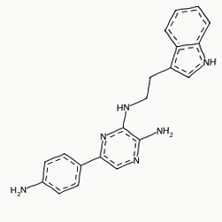 Nc1ccc(-c2cnc(N)c(NCCc3c[nH]c4ccccc34)n2)cc1